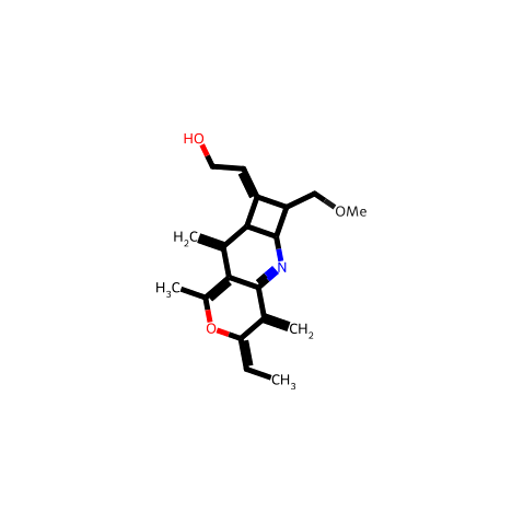 C=C1C2=NC3C(COC)/C(=C/CO)C3C(=C)C2=C(C)O/C1=C/C